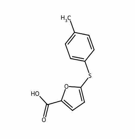 Cc1ccc(Sc2ccc(C(=O)O)o2)cc1